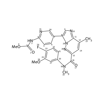 COC(=O)Nc1ccc(-c2cnc3c(C)cc(C(=O)N(C)c4ccc(F)c(OC)c4)nn23)cn1